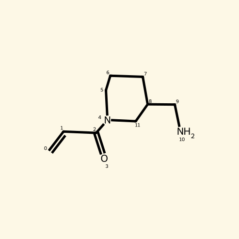 C=CC(=O)N1CCCC(CN)C1